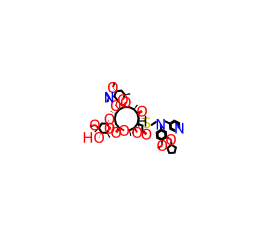 COc1ccc(N(CCS[C@@H]2C(=O)O[C@@]3(C)[C@H]2[C@@H](C)C(=O)[C@H](C)C[C@@](C)(OC)[C@H](O[C@@H]2O[C@H](C)C[C@@H](OC)[C@@H]2N(C)C)[C@@H](C)[C@H](O[C@H]2C[C@@](C)(OC)[C@@H](O)[C@H](C)O2)[C@@H](C)C(=O)O[C@@H]3C)Cc2ccncc2)cc1OC1CCCC1